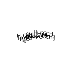 CC(C)(C)OC(=O)OCCNCCO[Si](C)(C)C(C)(C)C